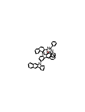 c1ccc(-c2nc(-c3ccccc3)nc(-c3ccc4ccccc4c3-n3c4ccc(-n5c6ccccc6c6cc7ccccc7cc65)cc4c4cc5ccccc5cc43)n2)cc1